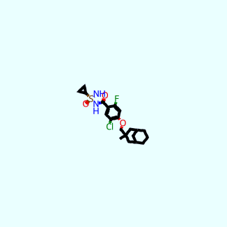 CC1(COc2cc(F)c(C(=O)NS(=N)(=O)C3CC3)cc2Cl)CC2CCCC(C2)C1